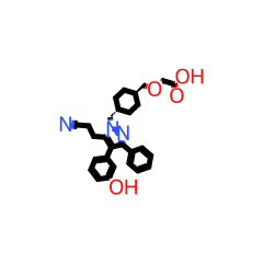 N#CCCc1c(-c2cccc(O)c2)c(-c2ccccc2)nn1C[C@H]1CC[C@H](COCC(=O)O)CC1